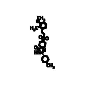 COc1cccc(CCS(=O)(=O)N2CCC3(CC2)N=C([C@H]2CC[C@H](C)CC2)NC3=O)c1C